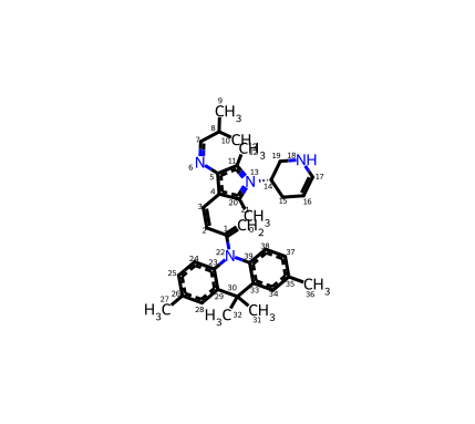 C=C(/C=C\c1c(/N=C\C(C)C)c(C)n([C@H]2CC=CNC2)c1C)N1c2ccc(C)cc2C(C)(C)c2cc(C)ccc21